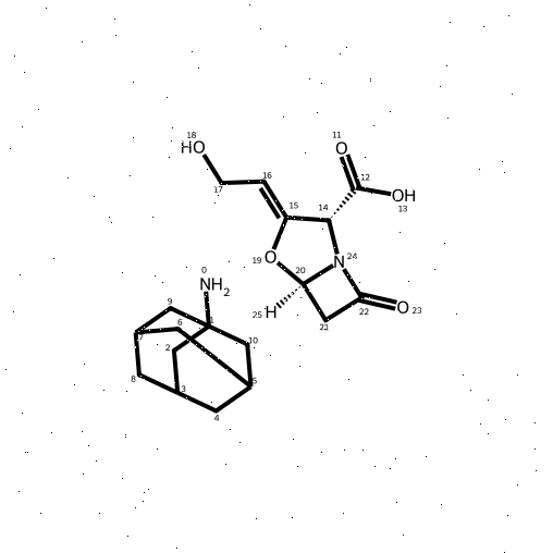 NC12CC3CC(CC(C3)C1)C2.O=C(O)[C@H]1C(=CCO)O[C@@H]2CC(=O)N12